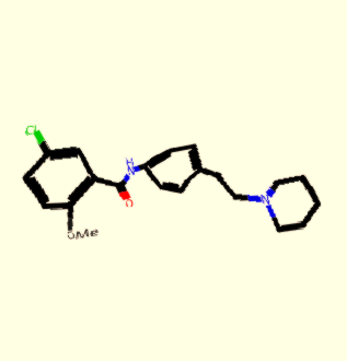 COc1ccc(Cl)cc1C(=O)Nc1ccc(CCN2CCCCC2)cc1